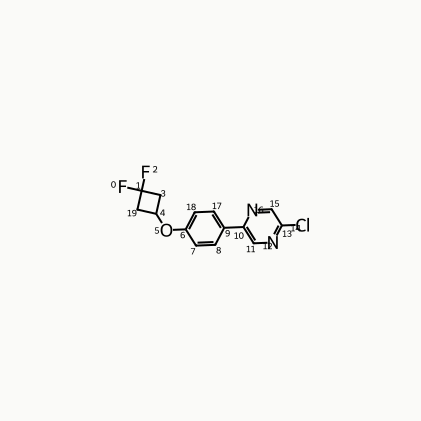 FC1(F)CC(Oc2ccc(-c3cnc(Cl)cn3)cc2)C1